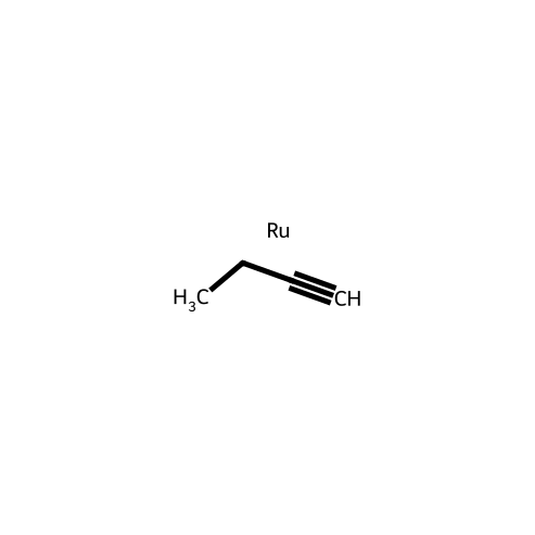 C#CCC.[Ru]